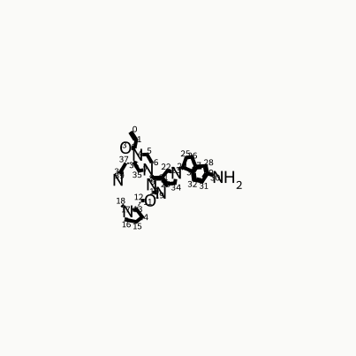 C=CC(=O)N1CCN(c2nc(OC[C@@H]3CCCN3C)nc3c2CN(C2CCc4cc(N)ccc42)C3)C[C@@H]1CC#N